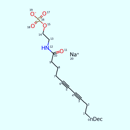 CCCCCCCCCCCCC#CC#CCCCC(=O)NCCOS(=O)(=O)[O-].[Na+]